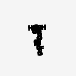 O=C(O)C1(C(=O)O)CCN(Cc2ccc(-c3nc(-c4ccc(-c5ccccc5)c(F)c4)no3)cc2)CC1